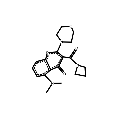 CN(C)c1cccc2oc(N3CCOCC3)c(C(=O)N3CCC3)c(=O)c12